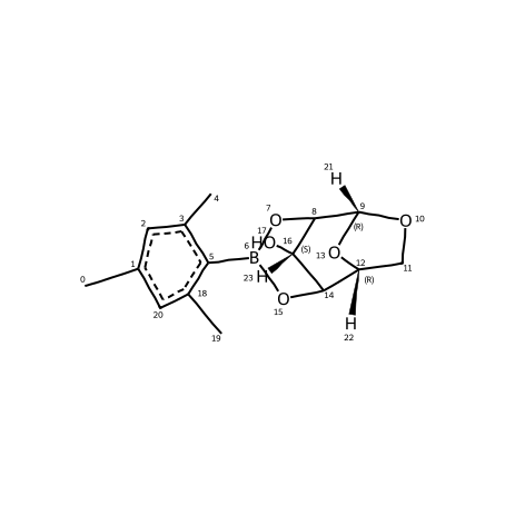 Cc1cc(C)c(B2OC3[C@@H]4OC[C@@H](O4)C(O2)[C@@H]3O)c(C)c1